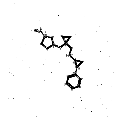 O=C(O)[C@H]1CCN(CC2(CN[C@H]3C[C@@H]3c3ccccc3)CC2)C1